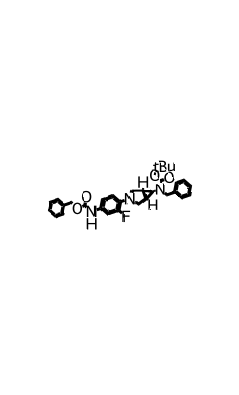 CC(C)(C)OC(=O)N(Cc1ccccc1)[C@H]1[C@@H]2CN(c3ccc(NC(=O)OCc4ccccc4)cc3F)C[C@@H]21